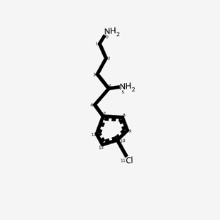 NCCCC(N)Cc1ccc(Cl)cc1